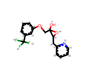 OC1(COc2cccc(C(F)(F)F)c2)OC1Cc1ccccn1